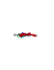 CCOCCOCCCCCC(=O)N1CCN(CCCOc2cc3ncc(C#N)c(Nc4cc(OC)c(Cl)cc4Cl)c3cc2OC)CC1